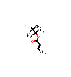 C/C=C/C(=O)OC(C)(C)C(C)(C)CC